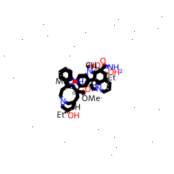 CC[C@]1(O)C[C@@H]2CN(CCc3c([nH]c4ccccc34)[C@@](C(=O)OC)(C3C=C4C(=CC3OC)N(C)[C@H]3[C@@](O)(C(N)=O)[C@H](O)[C@]5(CC)C=CCN6CC[C@]43[C@@H]65)C2)C1